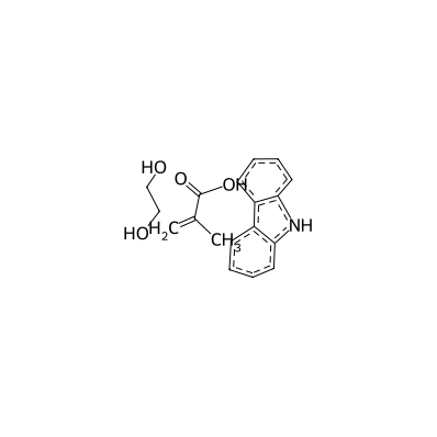 C=C(C)C(=O)O.OCCO.c1ccc2c(c1)[nH]c1ccccc12